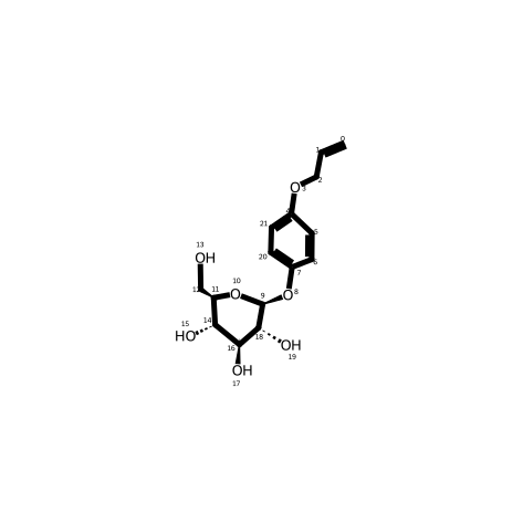 C=CCOc1ccc(O[C@@H]2O[C@H](CO)[C@@H](O)[C@H](O)[C@H]2O)cc1